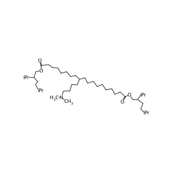 CC(C)CCC(COC(=O)CCCCCCCCCC(CCCCCCCC(=O)OCC(CCC(C)C)C(C)C)CCCCN(C)C)C(C)C